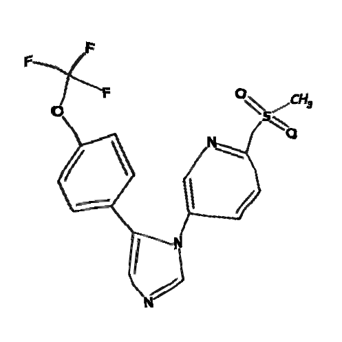 CS(=O)(=O)c1ccc(-n2cncc2-c2ccc(OC(F)(F)F)cc2)cn1